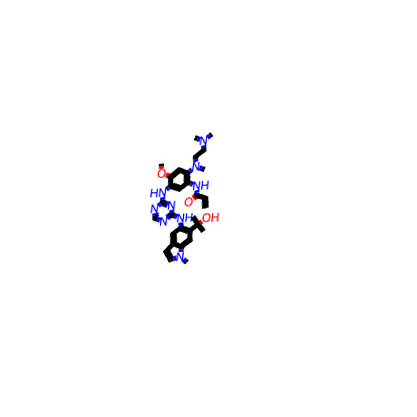 C=CC(=O)Nc1cc(Nc2ncnc(Nc3cc4ccn(C)c4cc3C(C)(C)O)n2)c(OC)cc1N(C)CCN(C)C